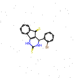 S=C1NC2=C(C(=S)c3ccccc32)C(c2ccccc2Br)N1